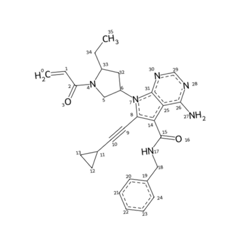 C=CC(=O)N1CC(n2c(C#CC3CC3)c(C(=O)NCc3ccccc3)c3c(N)ncnc32)CC1CC